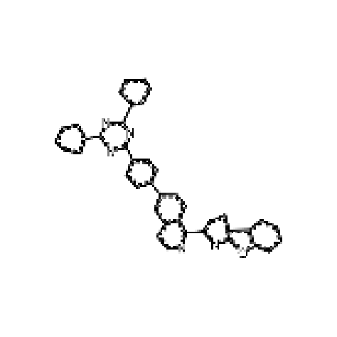 c1ccc(-c2nc(-c3ccccc3)nc(-c3ccc(-c4ccc5c(-c6ccc7c(n6)oc6ccccc67)nccc5c4)cc3)n2)cc1